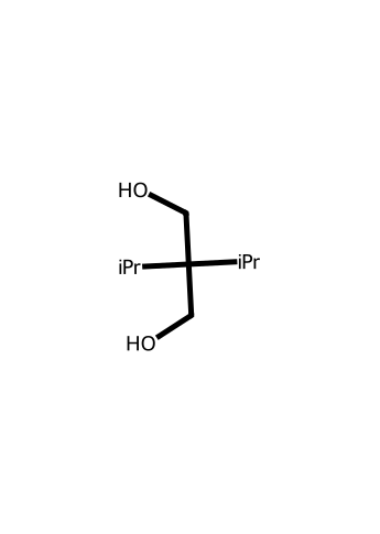 CC(C)C(CO)(CO)C(C)C